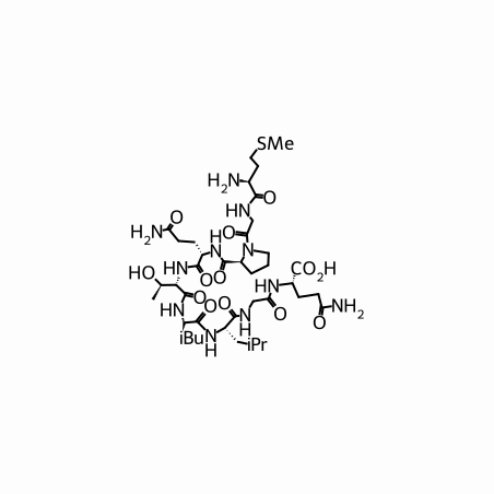 CC[C@H](C)[C@H](NC(=O)[C@@H](NC(=O)[C@H](CCC(N)=O)NC(=O)[C@@H]1CCCN1C(=O)CNC(=O)[C@@H](N)CCSC)[C@@H](C)O)C(=O)N[C@@H](CC(C)C)C(=O)NCC(=O)N[C@@H](CCC(N)=O)C(=O)O